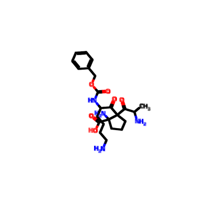 CC(N)C(=O)C1(C(=O)C(CCCCN)NC(=O)OCc2ccccc2)CCCC1(N)C(=O)O